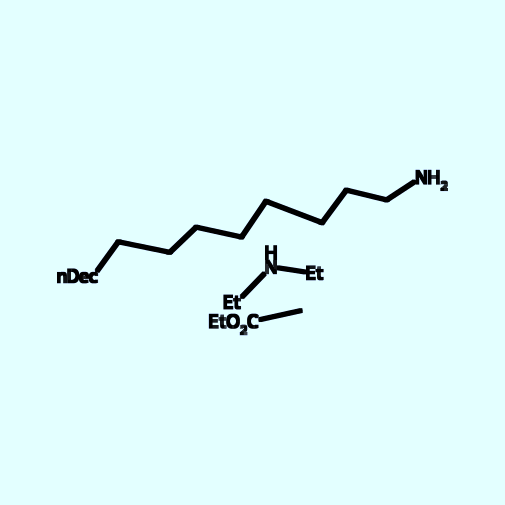 CCCCCCCCCCCCCCCCCCN.CCNCC.CCOC(C)=O